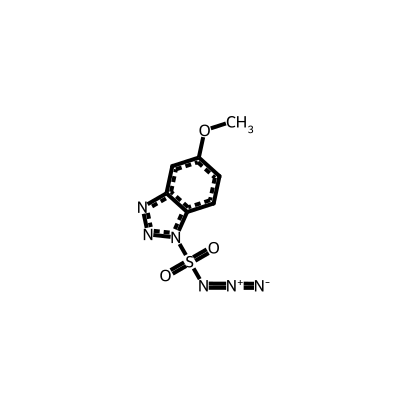 COc1ccc2c(c1)nnn2S(=O)(=O)N=[N+]=[N-]